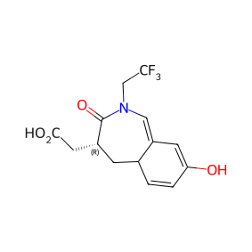 O=C(O)C[C@H]1CC2C=CC(O)=CC2=CN(CC(F)(F)F)C1=O